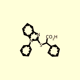 O=C(O)C(Sc1nc2ccccc2n1-c1ccccc1)c1ccccc1